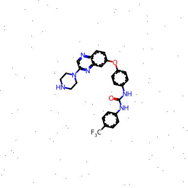 O=C(Nc1ccc(Oc2ccc3ncc(N4CCNCC4)nc3c2)cc1)Nc1ccc(C(F)(F)F)cc1